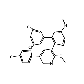 COc1ncc(-c2ccc(Cl)cc2)cc1-c1ccc(N(C)C)cc1-c1cc(Cl)cc(Cl)c1